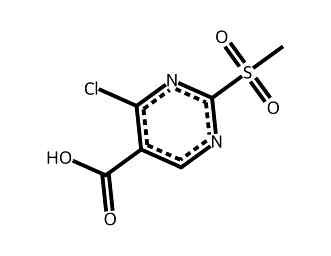 CS(=O)(=O)c1ncc(C(=O)O)c(Cl)n1